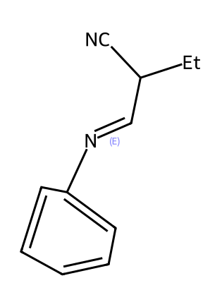 CCC(C#N)/C=N/c1ccccc1